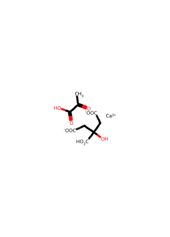 CC(=O)C(=O)O.O=C([O-])CC(O)(CC(=O)[O-])C(=O)O.[Ca+2]